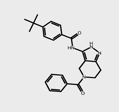 CC(C)(C)c1ccc(C(=O)Nc2[nH]nc3c2CN(C(=O)c2ccccc2)CC3)cc1